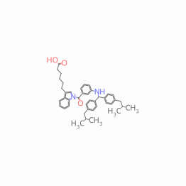 CC(C)Cc1ccc(C(Nc2cccc(C(=O)n3cc(CCCCCC(=O)O)c4ccccc43)c2)c2ccc(CC(C)C)cc2)cc1